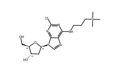 C[Si](C)(C)CCCNc1nc(Cl)nc2c1ncn2[C@H]1C[C@H](O)[C@@H](CO)O1